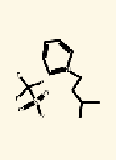 CC(C)CC[n+]1ccccc1.O=S(=O)([O-])C(F)(F)F